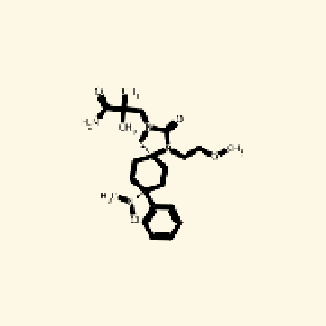 COCCN1C(=O)N(CC(C)(C)C(N)=O)C[C@]12CC[C@@](c1ccccc1)(N(C)C)CC2